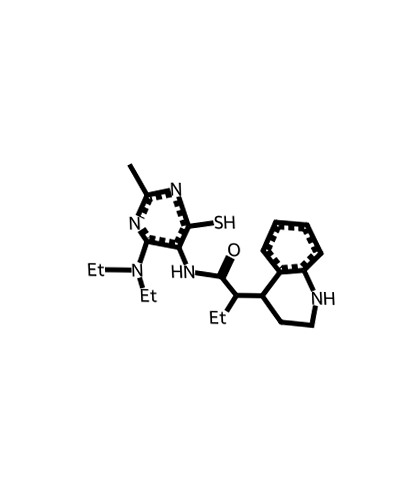 CCC(C(=O)Nc1c(S)nc(C)nc1N(CC)CC)C1CCNc2ccccc21